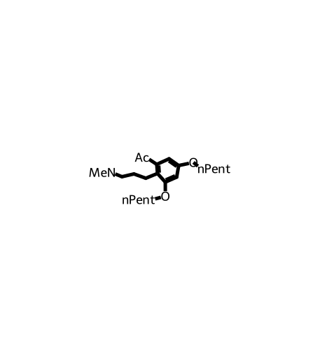 CCCCCOc1cc(OCCCCC)c(CCCNC)c(C(C)=O)c1